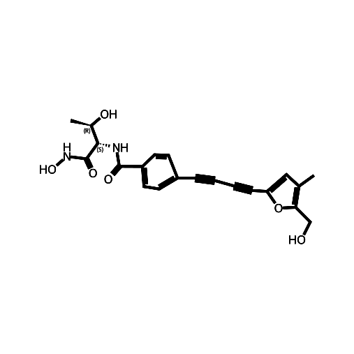 Cc1cc(C#CC#Cc2ccc(C(=O)N[C@H](C(=O)NO)[C@@H](C)O)cc2)oc1CO